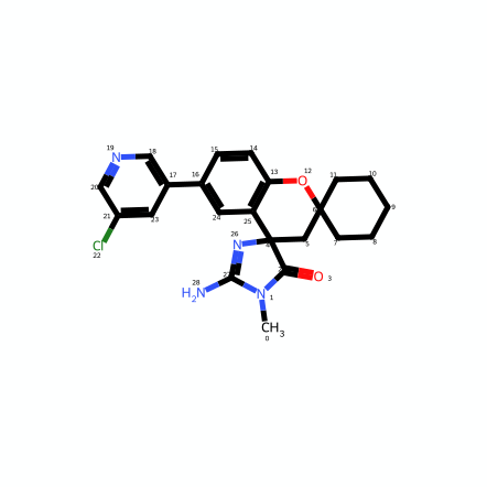 CN1C(=O)C2(CC3(CCCCC3)Oc3ccc(-c4cncc(Cl)c4)cc32)N=C1N